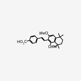 COc1cc2c(c(OC)c1C=Cc1ccc(C(=O)O)cc1)C(C)(C)CCC2(C)C